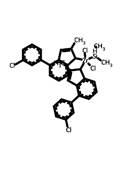 CC1=Cc2c(-c3cccc(Cl)c3)cccc2[CH]1[Zr]([Cl])([Cl])([CH]1C(C)=Cc2c(-c3cccc(Cl)c3)cccc21)[SiH](C)C